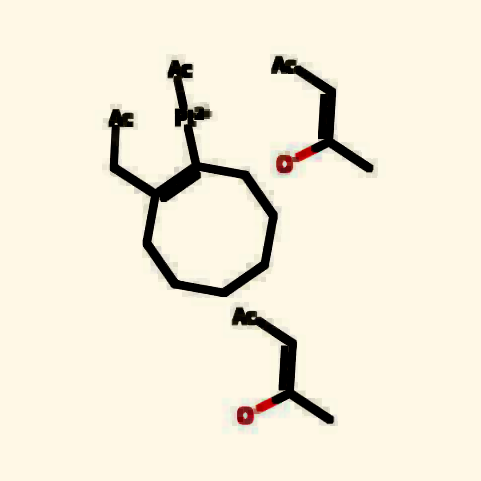 CC(=O)/C=C(/C)[O-].CC(=O)/C=C(/C)[O-].CC(=O)C/C1=[C](\[Pt+2][C](C)=O)CCCCCC1